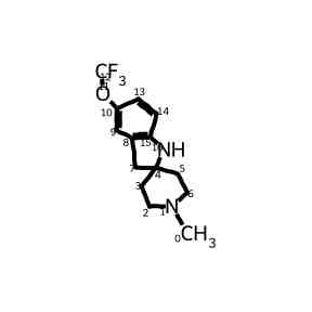 CN1CCC2(CC1)Cc1cc(OC(F)(F)F)ccc1N2